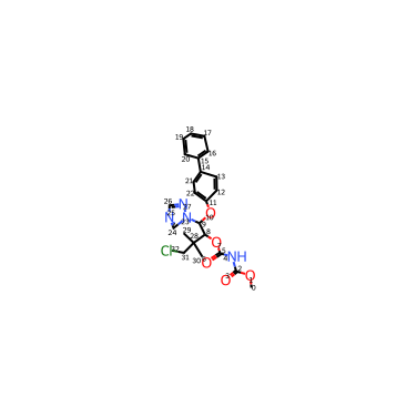 COC(=O)NC(=O)OC(C(Oc1ccc(-c2ccccc2)cc1)n1cncn1)C(C)(C)CCl